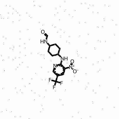 O=CNC1CCC(Nc2ncc(C(F)(F)F)cc2[N+](=O)[O-])CC1